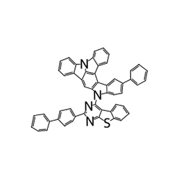 c1ccc(-c2ccc(-c3nc(-n4c5ccc(-c6ccccc6)cc5c5c6c7ccccc7n7c8ccccc8c(cc54)c67)c4c(n3)sc3ccccc34)cc2)cc1